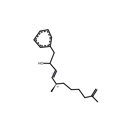 C=C(C)CCCC[C@@H](C)/C=C/C(O)Cc1ccccc1